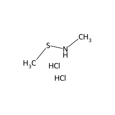 CNSC.Cl.Cl